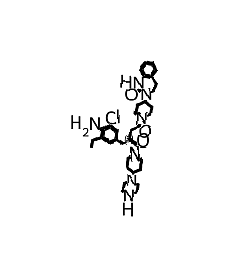 CCc1cc(C[C@@H](CC(=O)N2CCC(N3CCc4ccccc4NC3=O)CC2)C(=O)N2CCC(N3CCNCC3)CC2)cc(Cl)c1N